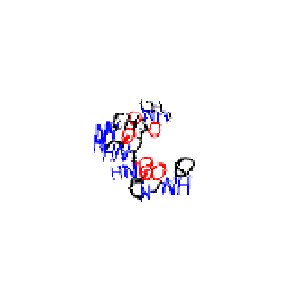 CNC(=O)C(=O)CC[C@H](NC(=O)c1cnnn1C)C(=O)Nc1cccn(CC(=O)N[C@@H]2CC3CCC2C3)c1=O